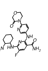 NC(=O)c1cc(F)c(NC2CCCCC2N)nc1Nc1ccc(N2CCOCC2=O)nc1